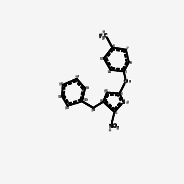 O=[N+]([O-])c1sc(Oc2ccc(C(F)(F)F)cc2)cc1Cc1ccccc1